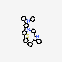 c1ccc(-c2cc(-c3cccc(-n4c5cc6c(cc5c5ccc7c8ccccc8sc7c54)c4ccccc4n6-c4ccccc4)c3)nc3ccccc23)cc1